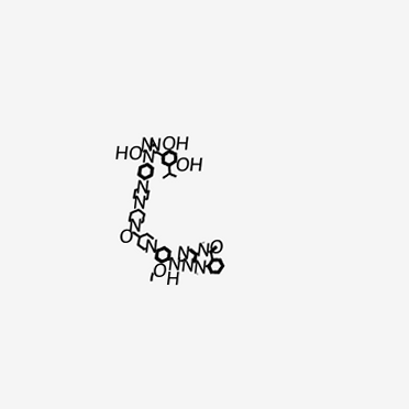 CCOc1cc(N2CCC(C(=O)N3CCC(N4CCN(c5ccc(-n6c(O)nnc6-c6cc(C(C)C)c(O)cc6O)cc5)CC4)CC3)CC2)ccc1Nc1ncc2c(n1)N(C)c1ccccc1C(=O)N2C